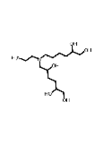 NCCN(CCCCC(O)CO)CC(O)CCC(O)CO